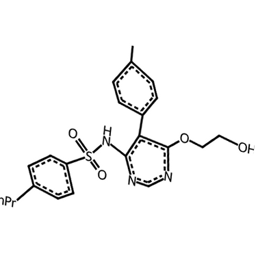 CCCc1ccc(S(=O)(=O)Nc2ncnc(OCCO)c2-c2ccc(C)cc2)cc1